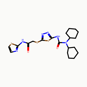 O=C(CSc1nnc(NC(=O)N(C2CCCCC2)C2CCCCC2)s1)Nc1nccs1